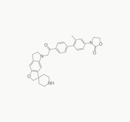 Cc1cc(N2CCOC2=O)ccc1-c1ccc(C(=O)CN2CCc3cc4c(cc32)C2(CCNCC2)CO4)cc1